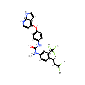 CN(C(=O)Nc1ccc(Oc2ccnc3[nH]ccc23)cc1)c1ccc(CCC(F)F)c(C(F)(F)F)c1